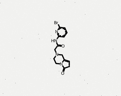 O=C(CN1CCN2C(=O)CC=C2C1)Nc1cccc(Br)n1